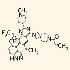 C=CC(=O)N1CCC2(CC1)CN(c1nc(C3CCN(C)CC3)nc3c(OCC(F)(F)F)c(-c4c(C)ccc5[nH]ncc45)c(C=C)cc13)C2